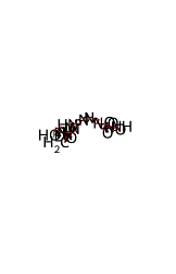 C=CCn1c(=O)c2cnc(Nc3ccc(N4CCN(CC5CCN(c6ccc7c(c6)C(=O)N(C6CCC(=O)NC6=O)C7=O)CC5)CC4)cc3)nc2n1-c1ccc2c(n1)[C@@](O)(CC)CC2